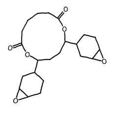 O=C1CCCCC(=O)OC(C2CCC3OC3C2)CCC(C2CCC3OC3C2)O1